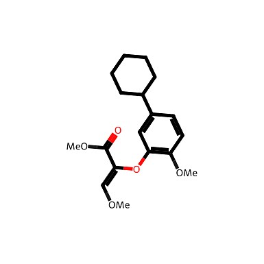 CO/C=C(\Oc1cc(C2CCCCC2)ccc1OC)C(=O)OC